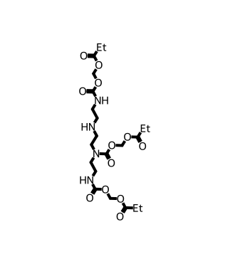 CCC(=O)OCOC(=O)NCCNCCN(CCNC(=O)OCOC(=O)CC)C(=O)OCOC(=O)CC